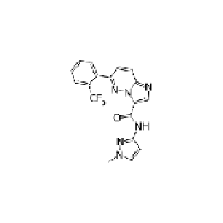 Cn1ccc(NC(=O)c2cnc3ccc(-c4ccccc4C(F)(F)F)nn23)n1